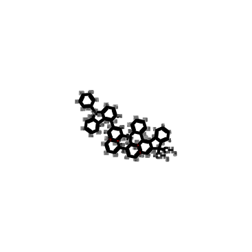 CC1(C)c2ccccc2-c2c(-c3ccccc3N(c3cccc(-c4cccc5c4c4ccccc4n5-c4ccccc4)c3)c3ccccc3-c3ccccc3)cccc21